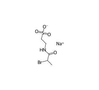 CC(Br)C(=O)NCCS(=O)(=O)[O-].[Na+]